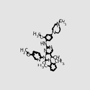 COc1ccc(N2C(=O)N(c3c(C)cccc3C)C(C)c3cnc(Nc4ccc(N5CCN(C)CC5)cc4OC)nc32)nc1